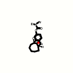 CCN(C(=O)Oc1ccc2c(c1)[C@@]1(C)CCCCC[C@@H](C2)[C@@H]1N)C(C)C